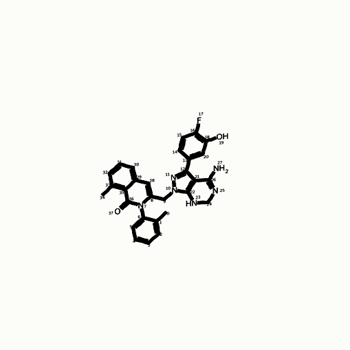 Cc1ccccc1-n1c(Cn2nc(-c3ccc(F)c(O)c3)c3c2NCN=C3N)cc2cccc(C)c2c1=O